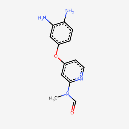 CN(C=O)c1cc(Oc2ccc(N)c(N)c2)ccn1